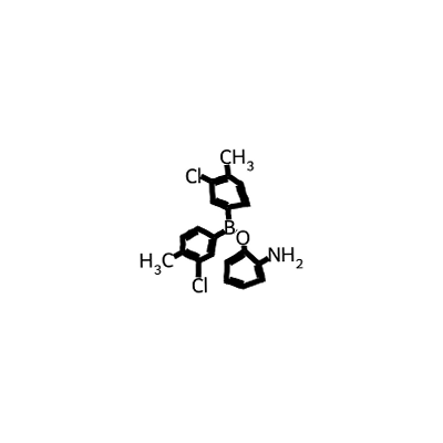 Cc1ccc(B(Oc2ccccc2N)c2ccc(C)c(Cl)c2)cc1Cl